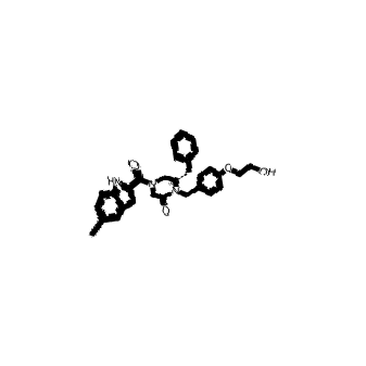 Cc1ccc2[nH]c(C(=O)N3CC(=O)N(Cc4ccc(OCCO)cc4)[C@@H](Cc4ccccc4)C3)cc2c1